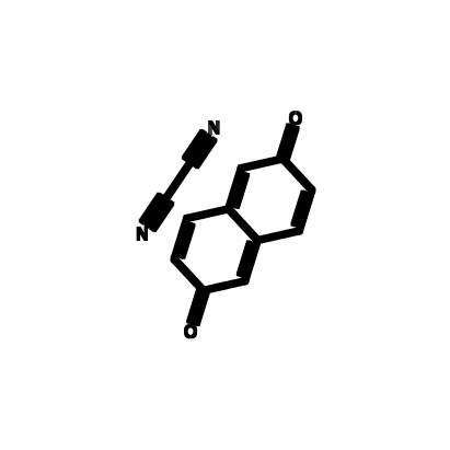 N#CC#N.O=C1C=CC2=CC(=O)C=CC2=C1